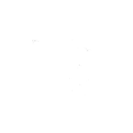 COCc1ccc(N)c(B2OC(C)(C)C(C)(C)O2)c1